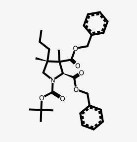 CCC[C@@]1(C)CN(C(=O)OC(C)(C)C)[C@H](C(=O)OCc2ccccc2)C1(C)C(=O)OCc1ccccc1